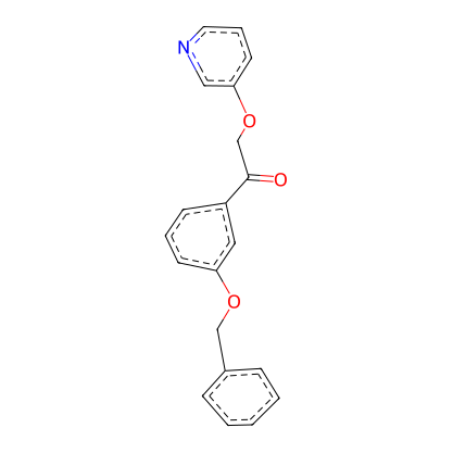 O=C(COc1cccnc1)c1cccc(OCc2ccccc2)c1